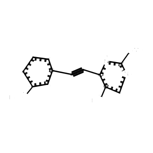 CSc1ncc(C(F)(F)F)c(C#Cc2cccc(C(=O)O)c2)n1